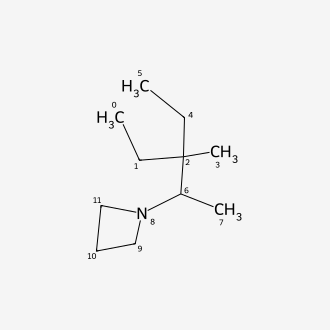 CCC(C)(CC)C(C)N1CCC1